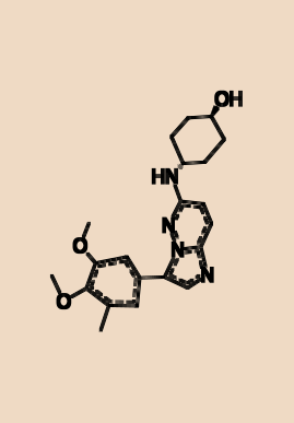 COc1cc(-c2cnc3ccc(N[C@H]4CC[C@H](O)CC4)nn23)cc(C)c1OC